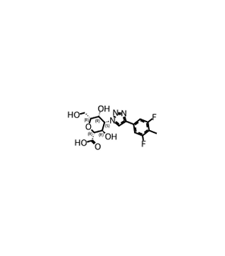 Cc1c(F)cc(-c2cn([C@H]3[C@@H](O)[C@@H](CO)O[C@@H](C(=O)O)[C@@H]3O)nn2)cc1F